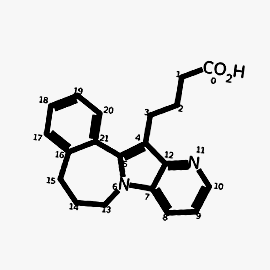 O=C(O)CCCc1c2n(c3cccnc13)CCCc1ccccc1-2